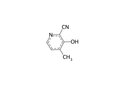 Cc1ccnc(C#N)c1O